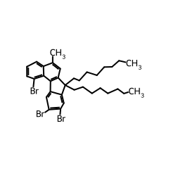 CCCCCCCCC1(CCCCCCCC)c2cc(Br)c(Br)cc2-c2c1cc(C)c1cccc(Br)c21